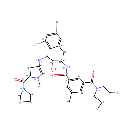 CCCN(CCC)C(=O)c1cc(C)cc(C(=O)N[C@@H](Cc2cc(F)cc(F)c2)[C@H](O)CNc2cc(C(=O)N3CCCC3)n(C)c2)c1